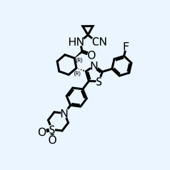 N#CC1(NC(=O)[C@@H]2CCCC[C@H]2c2nc(-c3cccc(F)c3)sc2-c2ccc(N3CCS(=O)(=O)CC3)cc2)CC1